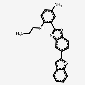 CCCNc1ccc(N)cc1-c1nc2cc(-c3cc4ccccc4s3)ccc2o1